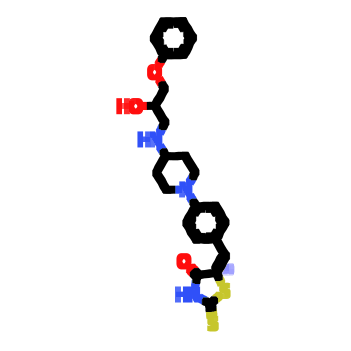 O=C1NC(=S)S/C1=C/c1ccc(N2CCC(NCC(O)COc3ccccc3)CC2)cc1